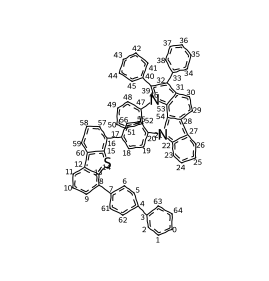 c1ccc(-c2ccc(-c3cccc4c3sc3c(-c5ccc(-n6c7ccccc7c7ccc8c(-c9ccccc9)c(-c9ccccc9)n(-c9ccccc9)c8c76)cc5)cccc34)cc2)cc1